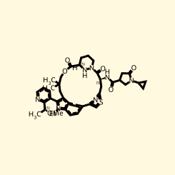 CCn1c(-c2cccnc2[C@H](C)OC)c2c3cc(ccc31)-c1csc(n1)C[C@H](NC(=O)C1CC(=O)N(C3CC3)C1)C(=O)N1CCC[C@H](N1)C(=O)OCC(C)(C)C2